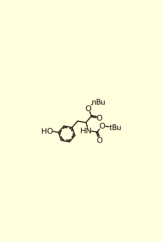 CCCCOC(=O)C(Cc1cccc(O)c1)NC(=O)OC(C)(C)C